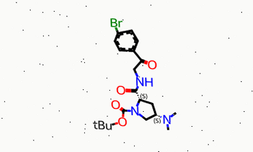 CN(C)[C@H]1C[C@@H](C(=O)NCC(=O)c2ccc(Br)cc2)N(C(=O)OC(C)(C)C)C1